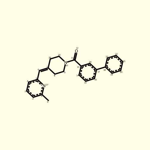 Cc1cccc(C=C2CCN(C(=O)c3cccc(-c4ccccc4)c3)CC2)n1